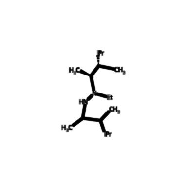 CCN(NC(C)C(C)C(C)C)[C@@H](C)[C@@H](C)C(C)C